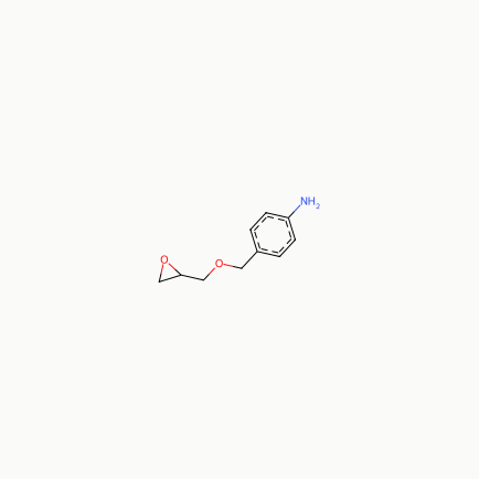 Nc1ccc(COCC2CO2)cc1